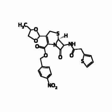 CC1COC(C2=C(C(=O)OCc3ccc([N+](=O)[O-])cc3)N3C(=O)C(NC(=O)Cc4cccs4)[C@@H]3SC2)O1